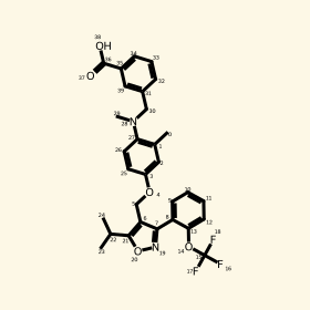 Cc1cc(OCc2c(-c3ccccc3OC(F)(F)F)noc2C(C)C)ccc1N(C)Cc1cccc(C(=O)O)c1